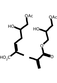 C=C(C)C(=O)OCC(O)COC(C)=O.CC(=O)OCC(O)CC=C(C)C(=O)O